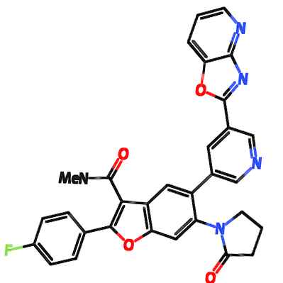 CNC(=O)c1c(-c2ccc(F)cc2)oc2cc(N3CCCC3=O)c(-c3cncc(-c4nc5ncccc5o4)c3)cc12